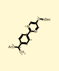 CCCCCCCCCCOc1cnc(-c2ccc(C(C)OC(C)=O)cc2)nc1